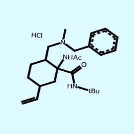 C=CC1CCC(CN(C)Cc2ccccc2)C(NC(C)=O)(C(=O)NC(C)(C)C)C1.Cl